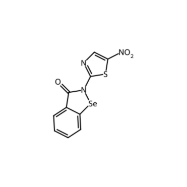 O=c1c2ccccc2[se]n1-c1ncc([N+](=O)[O-])s1